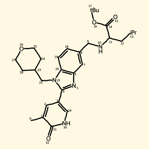 Cc1cc(-c2nc3cc(CNC(CC(C)C)C(=O)OC(C)(C)C)ccc3n2CC2CCOCC2)c[nH]c1=O